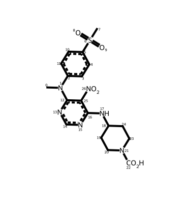 CN(c1ccc(S(C)(=O)=O)cc1)c1ncnc(NC2CCN(C(=O)O)CC2)c1[N+](=O)[O-]